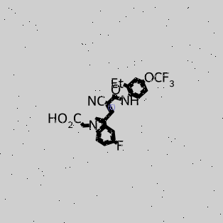 CCc1cc(OC(F)(F)F)ccc1NC(=O)/C(C#N)=C/c1cn(CC(=O)O)c2ccc(F)cc12